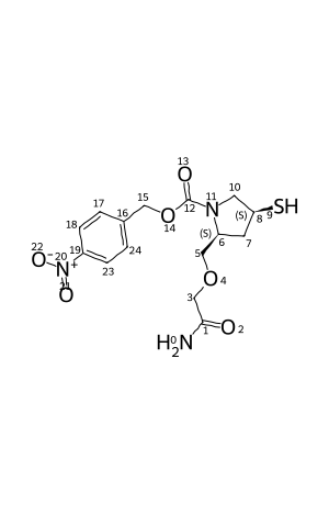 NC(=O)COC[C@@H]1C[C@H](S)CN1C(=O)OCc1ccc([N+](=O)[O-])cc1